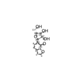 O=c1c2occc2ccn1[C@@H]1O[C@H](CO)[C@@H](O)[C@@H]1O